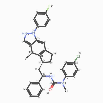 C[C@H]1C2=CNN(c3ccc(F)cc3)C2=CC2=C1[C@@H](CC(NC(=O)N(C)c1ccc(Cl)cc1)c1ccccc1)CC2